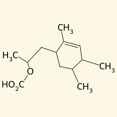 CC1=CC(C)C(C)CC1CC(C)OC(=O)O